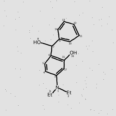 CCN(CC)c1ccc(C(O)c2ccccc2)c(O)c1